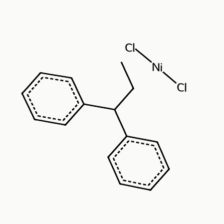 CCC(c1ccccc1)c1ccccc1.[Cl][Ni][Cl]